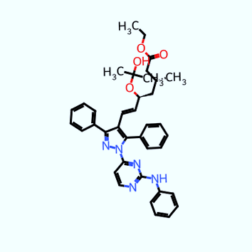 CCOC(=O)C[C@H](C)C[C@@H](/C=C/c1c(-c2ccccc2)nn(-c2ccnc(Nc3ccccc3)n2)c1-c1ccccc1)OC(C)(C)O